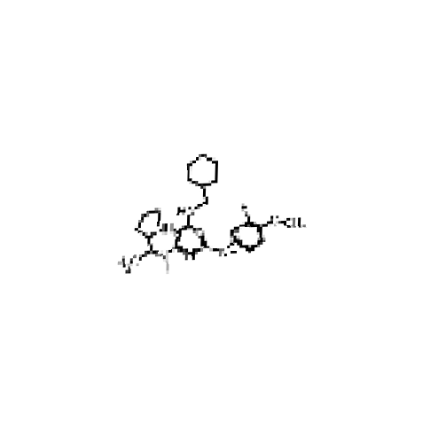 COc1ccc(Nc2nc(NCC3CCCCC3)nc(NC(C)C3CCCN3)n2)cc1F